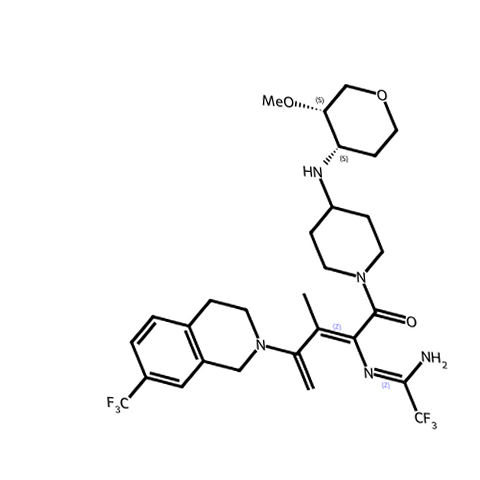 C=C(/C(C)=C(\N=C(/N)C(F)(F)F)C(=O)N1CCC(N[C@H]2CCOC[C@H]2OC)CC1)N1CCc2ccc(C(F)(F)F)cc2C1